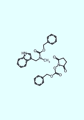 CN(Cc1c[nH]c2ccccc12)C(=O)OCc1ccccc1.O=C(OCc1ccccc1)ON1C(=O)CCC1=O